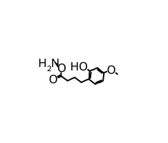 COc1ccc(CCCC(=O)ON)c(O)c1